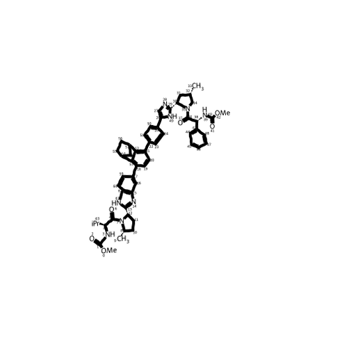 COC(=O)N[C@H](C(=O)N1[C@@H](C)CC[C@H]1c1nc2cc(-c3ccc(-c4ccc(-c5cnc([C@@H]6C[C@H](C)CN6C(=O)[C@H](NC(=O)OC)c6ccccc6)[nH]5)cc4)c4c3C3CCC4C3)ccc2[nH]1)C(C)C